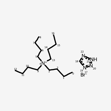 CCCC[N+](CCCC)(CCCC)CCCC.[Br-].c1nn[nH]n1